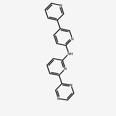 c1cncc(-c2ccc(Nc3cccc(-c4cnccn4)n3)nc2)c1